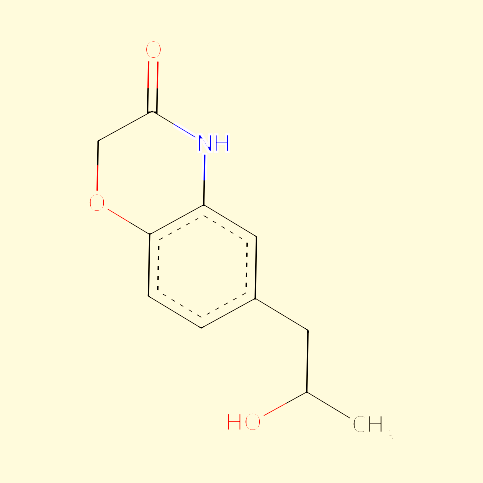 CC(O)Cc1ccc2c(c1)NC(=O)CO2